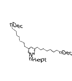 CCCCCCCCCCCCCCCCCc1cc(CCCCCCCCCCCCCCCCC)c[n+](CCCCCCC)c1